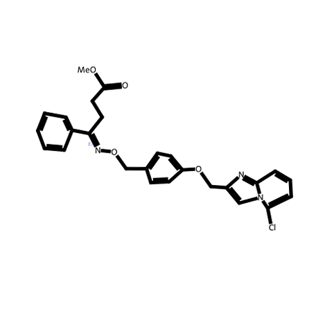 COC(=O)CC/C(=N\OCc1ccc(OCc2cn3c(Cl)cccc3n2)cc1)c1ccccc1